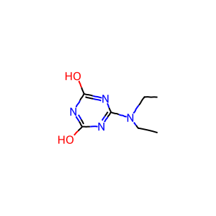 CCN(CC)c1nc(O)nc(O)n1